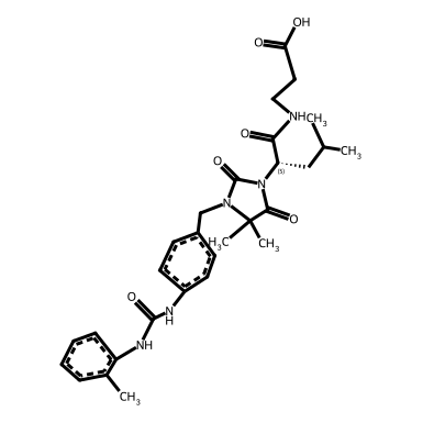 Cc1ccccc1NC(=O)Nc1ccc(CN2C(=O)N([C@@H](CC(C)C)C(=O)NCCC(=O)O)C(=O)C2(C)C)cc1